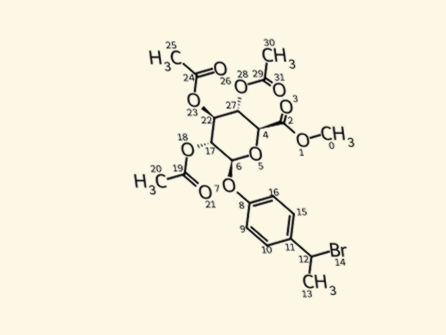 COC(=O)[C@H]1O[C@@H](Oc2ccc(C(C)Br)cc2)[C@H](OC(C)=O)[C@@H](OC(C)=O)[C@@H]1OC(C)=O